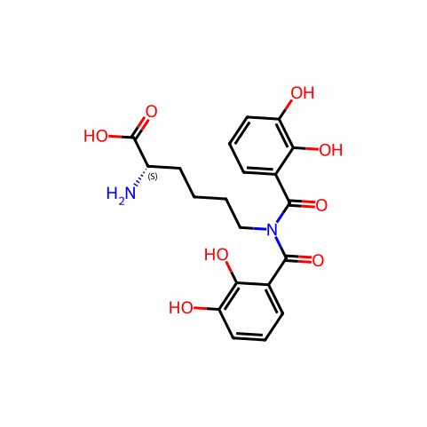 N[C@@H](CCCCN(C(=O)c1cccc(O)c1O)C(=O)c1cccc(O)c1O)C(=O)O